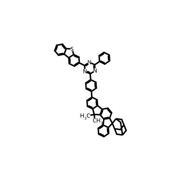 CC1(C)c2ccc(-c3ccc(-c4nc(-c5ccccc5)nc(-c5ccc6c(c5)sc5ccccc56)n4)cc3)cc2-c2ccc3c(c21)-c1ccccc1C31C2CC3CC(C2)CC1C3